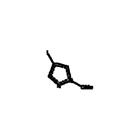 COn1cc(I)cn1